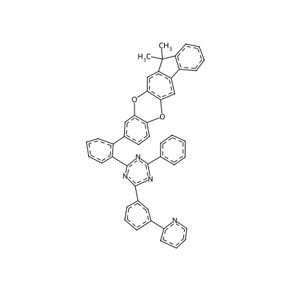 CC1(C)c2ccccc2-c2cc3c(cc21)Oc1cc(-c2ccccc2-c2nc(-c4ccccc4)nc(-c4cccc(-c5ccccn5)c4)n2)ccc1O3